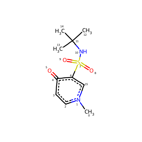 Cn1ccc(=O)c(S(=O)(=O)NC(C)(C)C)c1